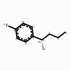 CCC[C@H](C)c1ccc(F)cc1